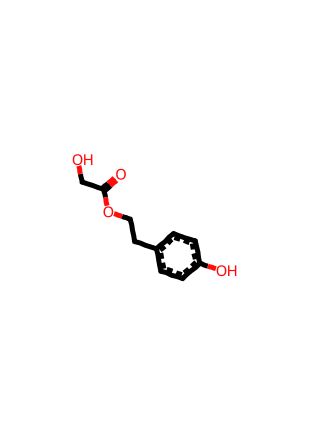 O=C(CO)OCCc1ccc(O)cc1